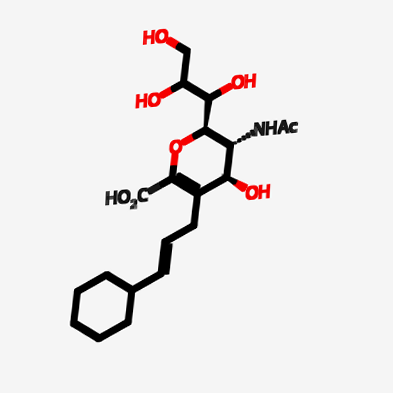 CC(=O)N[C@@H]1[C@@H](O)C(CC=CC2CCCCC2)=C(C(=O)O)O[C@H]1C(O)C(O)CO